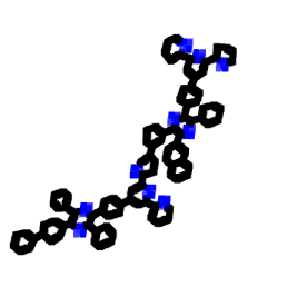 c1ccc(-c2ccc(-c3nc(-c4ccccc4)c(-c4ccc(-c5cc(-c6ccccn6)nc(-c6ccc(-c7cccc(-c8nc(-c9ccc(-c%10cc(-c%11ccccn%11)nc(-c%11ccccn%11)c%10)cc9)c(-c9ccccc9)nc8-c8ccc9ccccc9c8)c7)cn6)c5)cc4)nc3-c3ccccc3)cc2)cc1